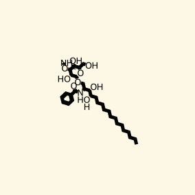 CCCCCCCCCCCCCCC(O)C(O)C(COC1OC(CO)C(O)C(ON)C1O)NC(=O)c1ccccc1